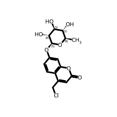 C[C@H]1O[C@@H](Oc2ccc3c(CCl)cc(=O)oc3c2)[C@H](O)[C@@H](O)[C@@H]1O